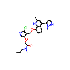 CCCN(C)C(=O)COc1cncc(Cl)c1COc1cccc2c(-c3ccnn3C)cc(C)nc12